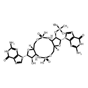 CC(C)(C)[Si](C)(C)O[C@@H]1[C@@H]2NP(=O)(S)OC[C@H]3O[C@@H](n4cnc5c(=O)[nH]c(N)nc54)[C@H](O)[C@@H]3NP(=O)(S)OC[C@H]2O[C@H]1n1cnc2c(=O)[nH]c(N)nc21